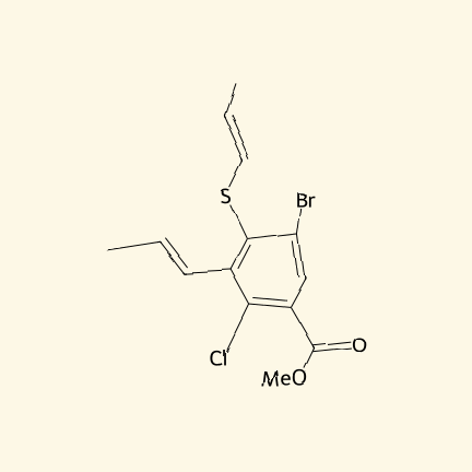 CC=CSc1c(Br)cc(C(=O)OC)c(Cl)c1C=CC